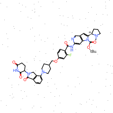 CN1CCC[C@@H]1c1cc2cnc(NC(=O)c3ccc(OCC4CCN(c5cccc6c5CN(C5CCC(=O)NC5=O)C6=O)CC4)cc3F)cc2n1C(=O)OC(C)(C)C